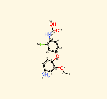 CCOc1cc(N)ccc1Oc1ccc(NC(=O)O)c(F)c1